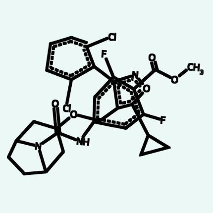 COC(=O)c1c(F)cc(NC(=O)N2C3CCC2CC(OCc2c(-c4c(Cl)cccc4Cl)noc2C2CC2)C3)cc1F